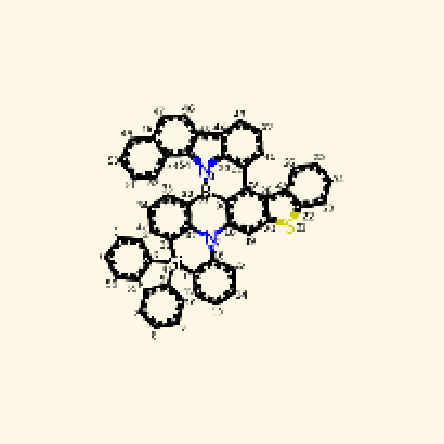 c1ccc([Si]2(c3ccccc3)c3ccccc3N3c4cc5sc6ccccc6c5c5c4B(c4cccc2c43)n2c3c-5cccc3c3ccc4ccccc4c32)cc1